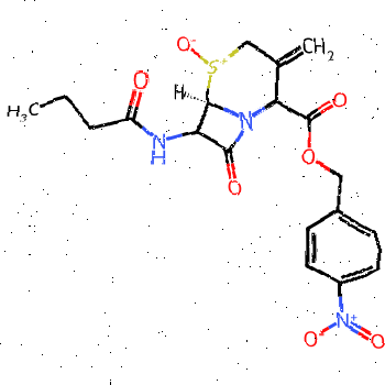 C=C1C[S+]([O-])[C@@H]2C(NC(=O)CCC)C(=O)N2C1C(=O)OCc1ccc([N+](=O)[O-])cc1